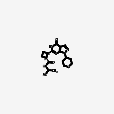 CC(=O)C(C)NC(=O)[C@@H]1CC[C@H]1c1nc2c(cnn2C2CCOCC2)c(=O)[nH]1